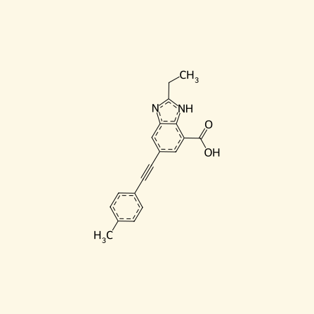 CCc1nc2cc(C#Cc3ccc(C)cc3)cc(C(=O)O)c2[nH]1